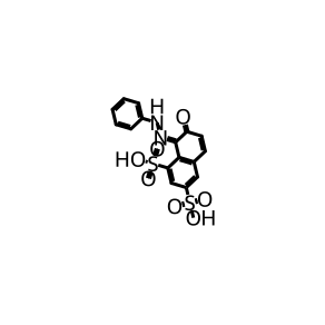 O=C1C=Cc2cc(S(=O)(=O)O)cc(S(=O)(=O)O)c2/C1=N/Nc1ccccc1